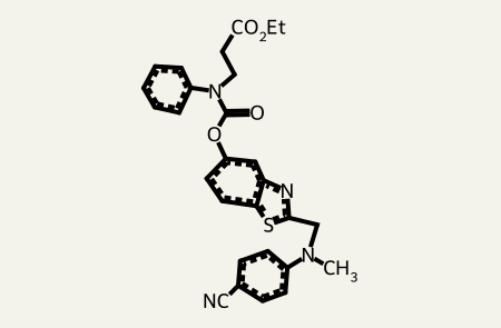 CCOC(=O)CCN(C(=O)Oc1ccc2sc(CN(C)c3ccc(C#N)cc3)nc2c1)c1ccccc1